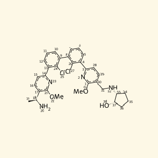 COc1nc(-c2cccc(-c3cccc(-c4ccc([C@H](C)N)c(OC)n4)c3Cl)c2Cl)ccc1CN[C@@H]1CCC[C@@H]1O